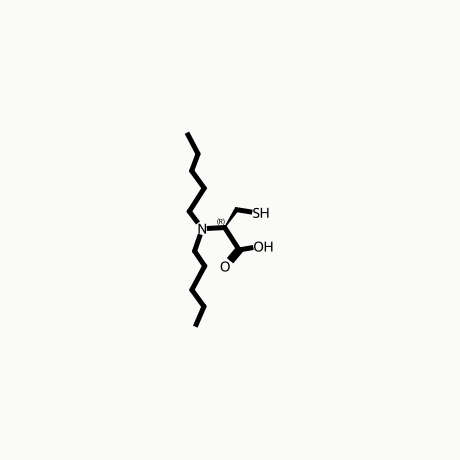 CCCCCN(CCCCC)[C@@H](CS)C(=O)O